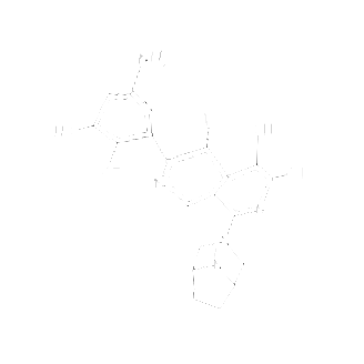 Cc1cc(N)nc(-c2ncc3c(N4CC5CCC(C4)N5)nc(C)c(C)c3c2F)c1C(F)(F)F